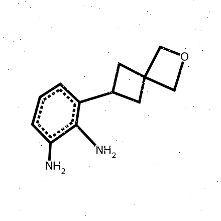 Nc1cccc(C2CC3(COC3)C2)c1N